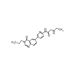 CCCn1cnc2ccc(-c3ccc(NC(=O)CNCC)nc3)cc2c1=O